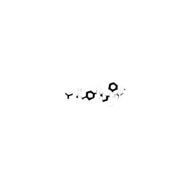 COP(=O)(OC)c1ccccc1Nc1nc(Nc2ccc(C(=O)NOCC(C)C)cc2)ncc1Cl